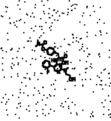 CN(C)C(=O)Oc1ccc(C[C@H](Nc2nc(N(C)CCO)ncc2-c2ccccc2F)C(=O)O)cc1